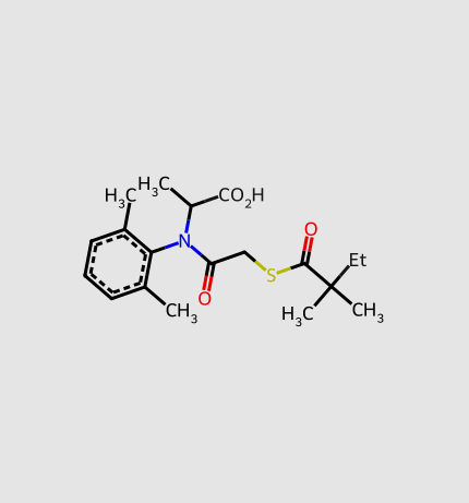 CCC(C)(C)C(=O)SCC(=O)N(c1c(C)cccc1C)C(C)C(=O)O